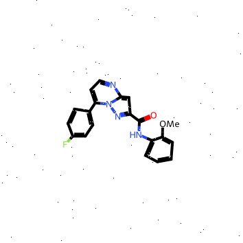 COc1ccccc1NC(=O)c1cc2nccc(-c3ccc(F)cc3)n2n1